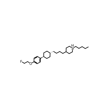 CCCCC[SiH]1CCC(CCCC[C@H]2CC[C@H](c3ccc(OCCF)cc3)CC2)CC1